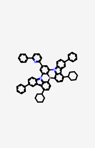 c1ccc(-c2ccc3c(c2)c2c(C4CCCCC4)ccc4c2n3-c2cc(-c3cccc(-c5ccccc5)n3)cc3c2B4c2ccc(C4CCCCC4)c4c5cc(-c6ccccc6)ccc5n-3c24)cc1